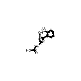 Cc1ccccc1-c1nc(OCC(=O)O)nn1O